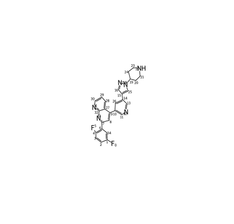 Fc1ccc(F)c(-c2cc(-c3cncc(-c4cnn(C5CCNCC5)c4)c3)c3cccnc3n2)c1